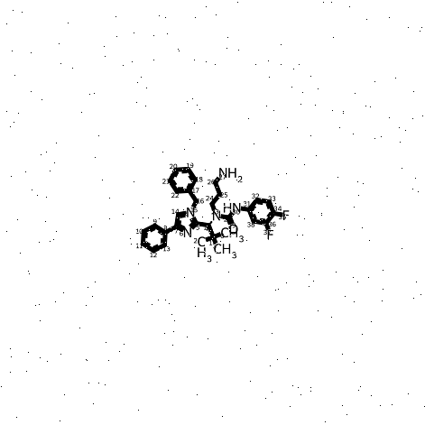 CC(C)(C)[C@H](c1nc(-c2ccccc2)cn1Cc1ccccc1)N(CCCN)C(=O)Nc1ccc(F)c(F)c1